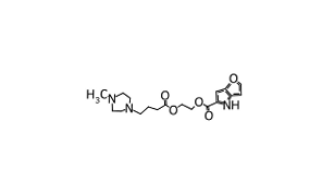 CN1CCN(CCCC(=O)OCCOC(=O)c2cc3occc3[nH]2)CC1